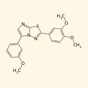 COc1cccc(-c2cnc3sc(-c4ccc(OC)c(OC)c4)nn23)c1